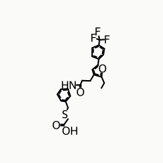 CCc1oc(-c2ccc(C(F)(F)F)cc2)cc1CCC(=O)Nc1cccc(CSCC(=O)O)c1